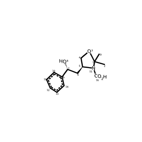 CC1(C)OC[C@H](C[C@@H](O)c2ccccc2)N1C(=O)O